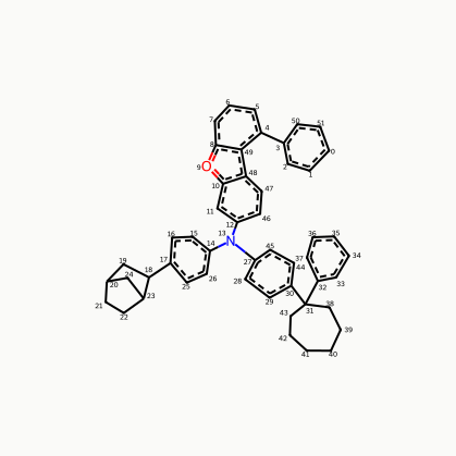 c1ccc(-c2cccc3oc4cc(N(c5ccc(C6CC7CCC6C7)cc5)c5ccc(C6(c7ccccc7)CCCCCC6)cc5)ccc4c23)cc1